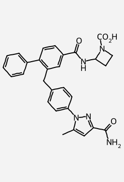 Cc1cc(C(N)=O)nn1-c1ccc(Cc2cc(C(=O)NC3CCN3C(=O)O)ccc2-c2ccccc2)cc1